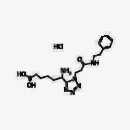 Cl.NC(CCCCB(O)O)c1nnnn1CCC(=O)NCCc1ccccc1